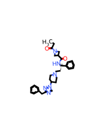 CCC(=O)N1CC(C(=O)N[C@@H](CCN2CCC(n3cnc(Cc4ccccc4)n3)CC2)c2ccccc2)C1